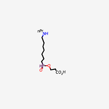 CCCNCCCCCCC[PH](=O)OCCC(=O)O